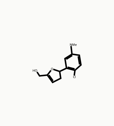 CNc1ccc(Cl)c(C2CC=C(CO)O2)c1